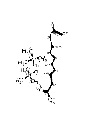 C[N+](C)(C)C.C[N+](C)(C)C.O=C([O-])CCCCCCCCC(=O)[O-]